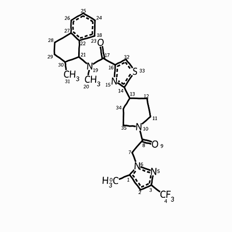 Cc1cc(C(F)(F)F)nn1CC(=O)N1CCC(c2nc(C(=O)N(C)C3c4ccccc4CCC3C)cs2)CC1